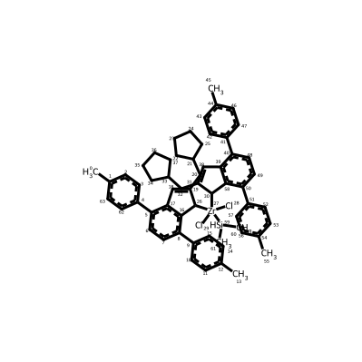 Cc1ccc(-c2ccc(-c3ccc(C)cc3)c3c2C=C(CC2CCCC2)[CH]3[Zr]([Cl])([Cl])([CH]2C(CC3CCCC3)=Cc3c(-c4ccc(C)cc4)ccc(-c4ccc(C)cc4)c32)[SiH](C)C)cc1